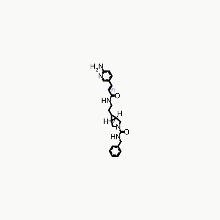 Nc1ccc(/C=C/C(=O)NCCC2[C@H]3CN(C(=O)NCc4ccccc4)C[C@@H]23)cn1